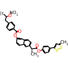 C=C1C=C(c2ccc(OC(=O)[C@@H](C)c3ccc4cc(OC(=O)c5ccc(CC(CC)O[N+](=O)[O-])cc5)ccc4c3)cc2)SS1